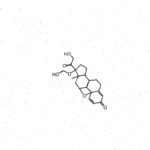 CC12CC3OC45C=CC(=O)C=C4CCC(C35)C1CCC2(OCO)C(=O)CO